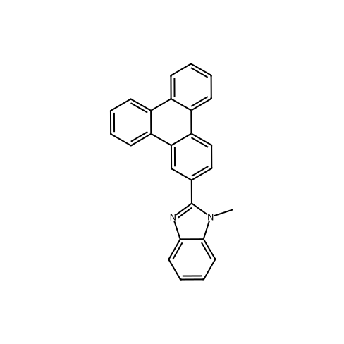 Cn1c(-c2ccc3c4ccccc4c4ccccc4c3c2)nc2ccccc21